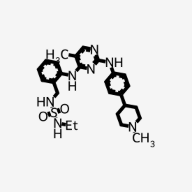 CCNS(=O)(=O)NCc1ccccc1Nc1nc(Nc2ccc(C3CCN(C)CC3)cc2)ncc1C